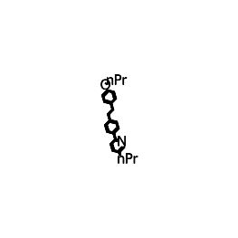 CCCOc1ccc(CCc2ccc(-c3ccc(CCC)cn3)cc2)cc1